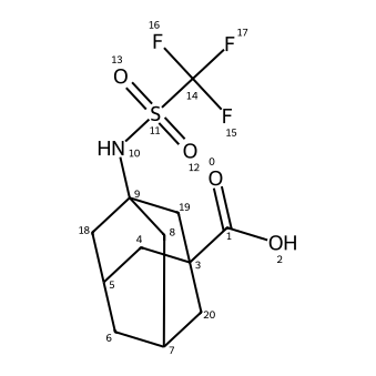 O=C(O)C12CC3CC(CC(NS(=O)(=O)C(F)(F)F)(C3)C1)C2